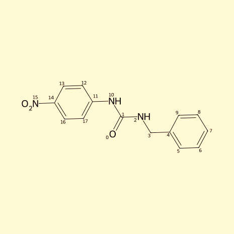 O=C(NCc1ccccc1)Nc1ccc([N+](=O)[O-])cc1